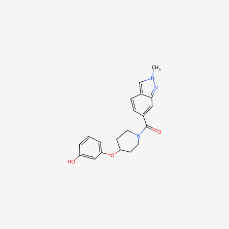 Cn1cc2ccc(C(=O)N3CCC(Oc4cccc(O)c4)CC3)cc2n1